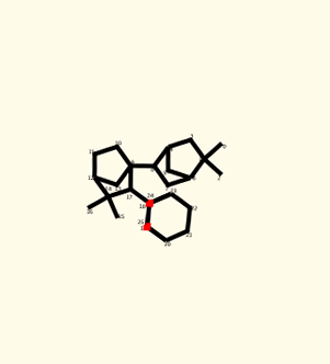 CC1(C)CC2CC1CC2C12C[CH]C(C1)C(C)(C)C2C1CC2CCC1CC2